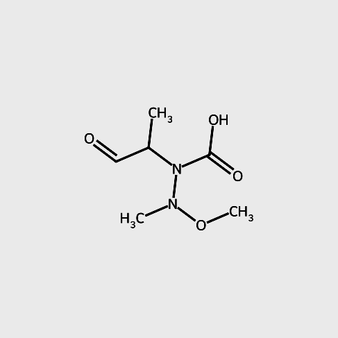 CON(C)N(C(=O)O)C(C)C=O